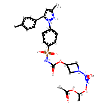 Cc1ccc(-c2cc(C(F)(F)F)nn2-c2ccc(S(=O)(=O)NC(=O)OC3CN(n4on4OC(C)OC(=O)C(C)(C)C)C3)cc2)cc1